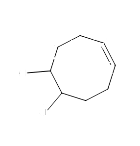 ClC1CCC=CCCC1Cl